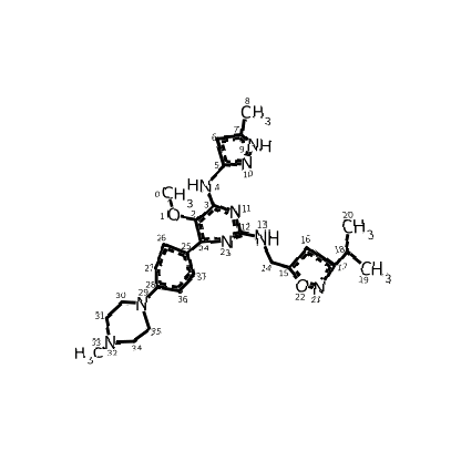 COc1c(Nc2cc(C)[nH]n2)nc(NCc2cc(C(C)C)no2)nc1-c1ccc(N2CCN(C)CC2)cc1